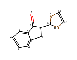 O=C1c2ccccc2CC1C1SC=CS1